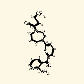 Nc1ncccc1C(=O)c1cccc(N2CCCN(C(=O)CCC(F)(F)F)CC2)n1